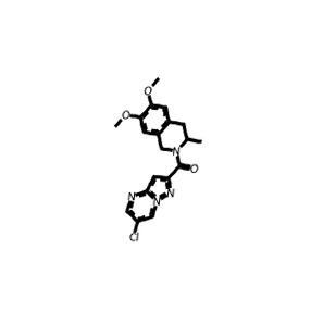 COc1cc2c(cc1OC)CN(C(=O)c1cc3ncc(Cl)cn3n1)C(C)C2